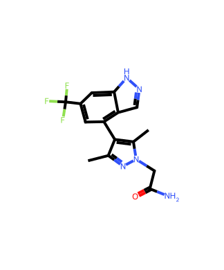 Cc1nn(CC(N)=O)c(C)c1-c1cc(C(F)(F)F)cc2[nH]ncc12